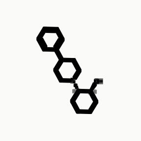 O[C@H]1CCCC[C@@H]1N1CCC(c2ccccc2)CC1